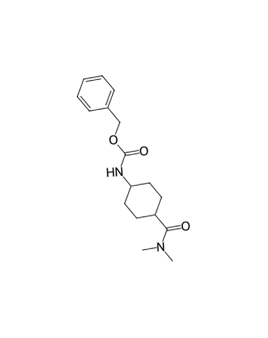 CN(C)C(=O)C1CCC(NC(=O)OCc2ccccc2)CC1